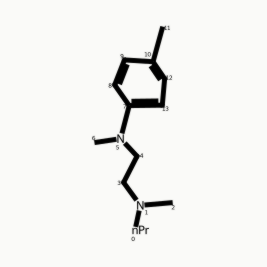 CCCN(C)CCN(C)c1ccc(C)cc1